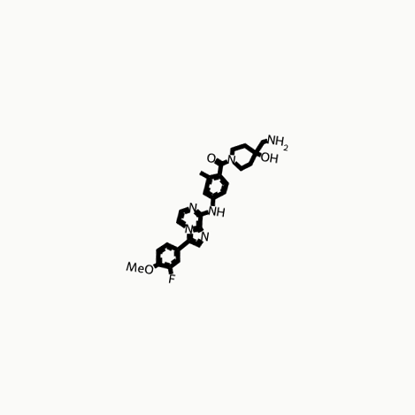 COc1ccc(-c2cnc3c(Nc4ccc(C(=O)N5CCC(O)(CN)CC5)c(C)c4)nccn23)cc1F